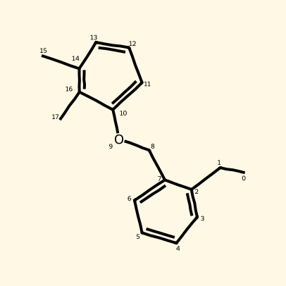 CCc1ccccc1COc1cccc(C)c1C